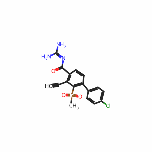 C#Cc1c(C(=O)N=C(N)N)ccc(-c2ccc(Cl)cc2)c1S(C)(=O)=O